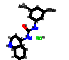 COc1cc(NC(=O)Nc2ccnc3ccccc23)cc(OC)c1.Cl